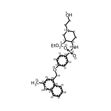 CCOC(=O)C1CN(CCO)CCC1NS(=O)(=O)c1ccc(OCc2cc(C)nc3ccccc23)cc1